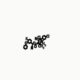 CC1(C)[C@H]([C@H](Br)[C@](Cl)(Br)c2ccc(Cl)cc2)[C@@H]1C(=O)OC(C#N)c1ccc(F)c(Oc2ccccc2)c1